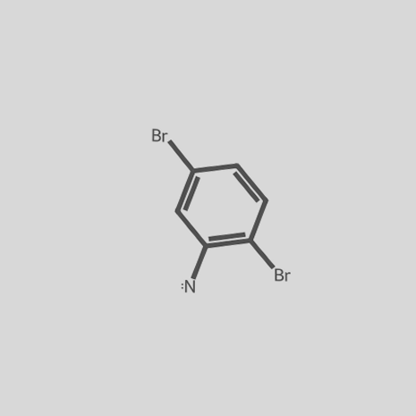 [N]c1cc(Br)ccc1Br